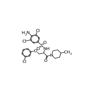 CC1CCN(C(=O)C(COc2cccc(Cl)c2)NS(=O)(=O)c2cc(Cl)c(N)c(Cl)c2)CC1